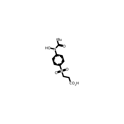 CC(C)(C)C(=O)N(O)c1ccc(S(=O)(=O)CCC(=O)O)cc1